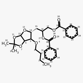 CCCCOC1C2OC(C)(C)OC2O[C@@H]1CC(COC(=O)c1ccccc1)OC(=O)c1ccccc1